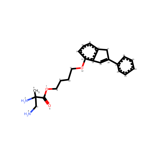 CC(N)(CN)C(=O)OCCCCOc1cccc2c1C=C(c1ccccc1)C2